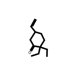 C=CC1CCC(CC)(CC)C(=O)C1